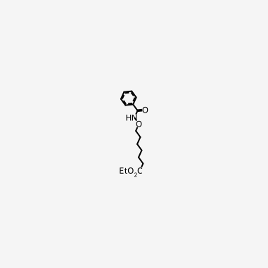 CCOC(=O)CCCCCCONC(=O)c1ccccc1